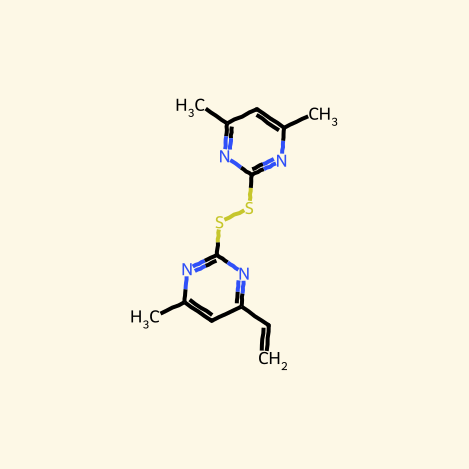 C=Cc1cc(C)nc(SSc2nc(C)cc(C)n2)n1